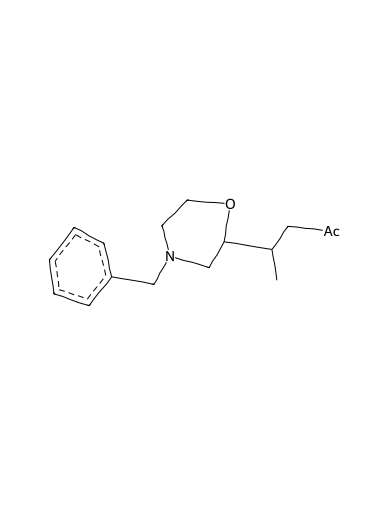 CC(=O)CC(C)C1CN(Cc2ccccc2)CCO1